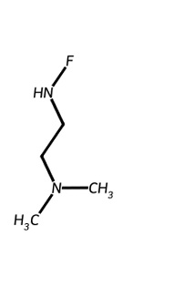 CN(C)CCNF